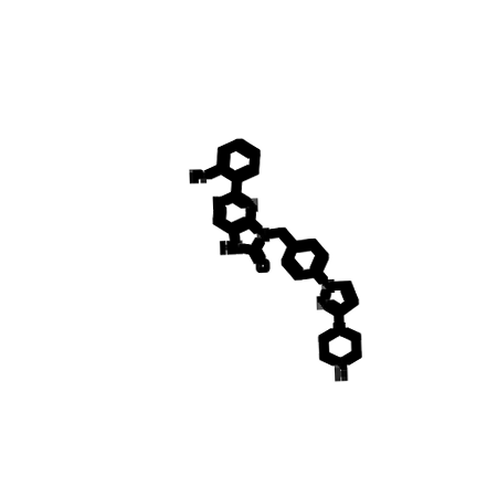 CC(C)c1ccccc1-c1ncc2[nH]c(=O)n(Cc3ccc(-n4ccc(N5CCNCC5)n4)cc3)c2n1